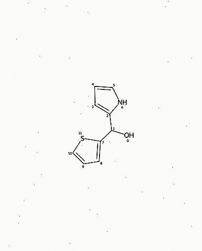 OC(c1ccc[nH]1)c1cccs1